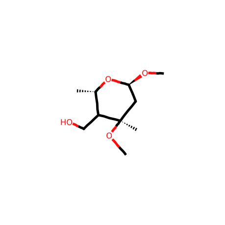 CO[C@H]1C[C@@](C)(OC)C(CO)[C@H](C)O1